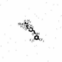 CN(C(=O)OC(C)(C)C)C(C)(C)C(=O)N1CCC(CC(=O)Nc2cc(C(F)(F)F)cc(C(F)(F)F)c2)CC1